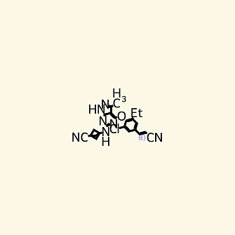 CCc1cc(/C=C/C#N)cc(Cl)c1Oc1nc(NC23CC(C#N)(C2)C3)nc2[nH]nc(C)c12